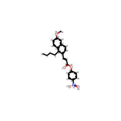 CCCCc1c(/C=C/C(=O)Oc2ccc([N+](=O)[O-])cc2)ccc2cc(OC)ccc12